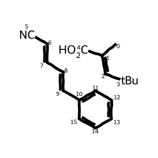 CC(=CC(C)(C)C)C(=O)O.N#CC=CC=Cc1ccccc1